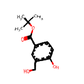 CC(C)(C)OC(=O)c1ccc(O)c(CO)c1